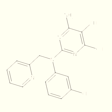 Cc1nc(N(Cc2ccccn2)c2cccc(Cl)c2)nc(N)c1C